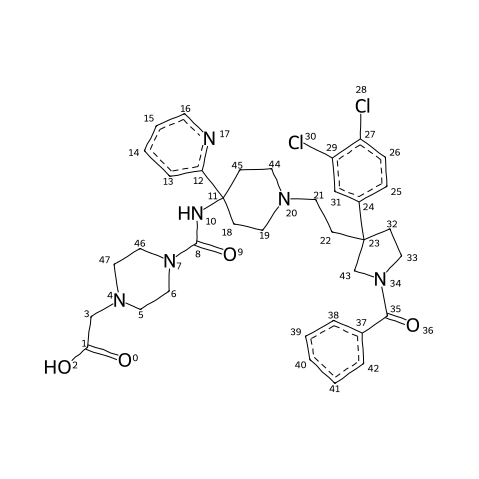 O=C(O)CN1CCN(C(=O)NC2(c3ccccn3)CCN(CCC3(c4ccc(Cl)c(Cl)c4)CCN(C(=O)c4ccccc4)C3)CC2)CC1